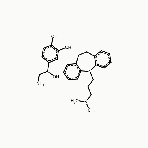 CN(C)CCCN1c2ccccc2CCc2ccccc21.NC[C@H](O)c1ccc(O)c(O)c1